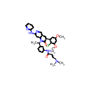 COc1cc(OC)c(Cl)c(-c2cc3cnc(Nc4ccccn4)cc3n(C(C)c3cccc(NC(=O)/C=C/CN(C)C)c3)c2=O)c1